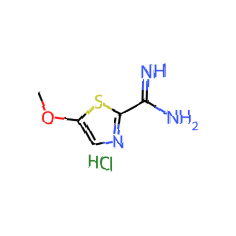 COc1cnc(C(=N)N)s1.Cl